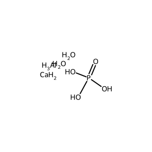 O.O.O=P(O)(O)O.[AlH3].[CaH2]